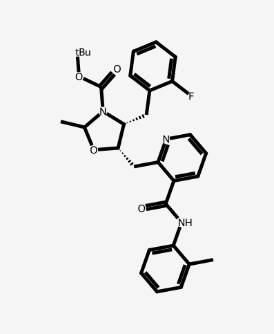 Cc1ccccc1NC(=O)c1cccnc1C[C@@H]1OC(C)N(C(=O)OC(C)(C)C)[C@@H]1Cc1ccccc1F